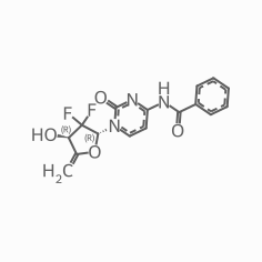 C=C1O[C@@H](n2ccc(NC(=O)c3ccccc3)nc2=O)C(F)(F)[C@@H]1O